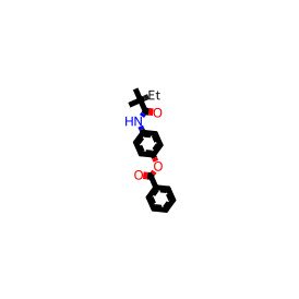 CCC(C)(C)C(=O)Nc1ccc(OC(=O)c2ccccc2)cc1